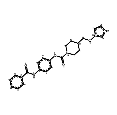 O=C(Nc1ccc(OC(=O)N2CCC(COn3ccnc3)CC2)nc1)c1ccccc1